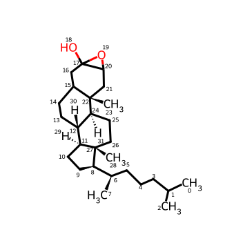 CC(C)CCC[C@@H](C)[C@H]1CC[C@H]2[C@@H]3CCC4CC5(O)OC5C[C@]4(C)[C@H]3CC[C@]12C